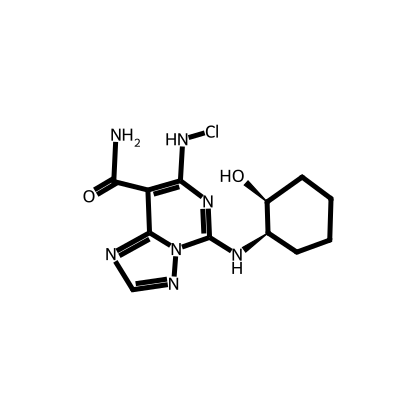 NC(=O)c1c(NCl)nc(N[C@@H]2CCCC[C@@H]2O)n2ncnc12